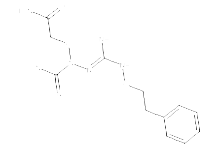 N=C(N)N(N=C(N)NOCCc1ccccc1)OCC(N)=O